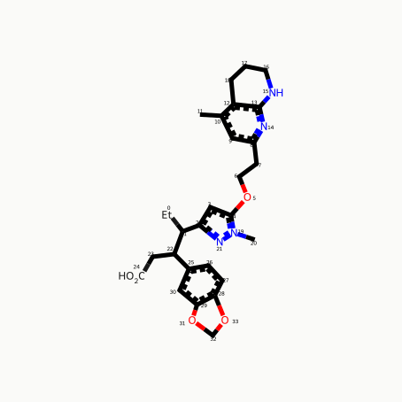 CCC(c1cc(OCCc2cc(C)c3c(n2)NCCC3)n(C)n1)C(CC(=O)O)c1ccc2c(c1)OCO2